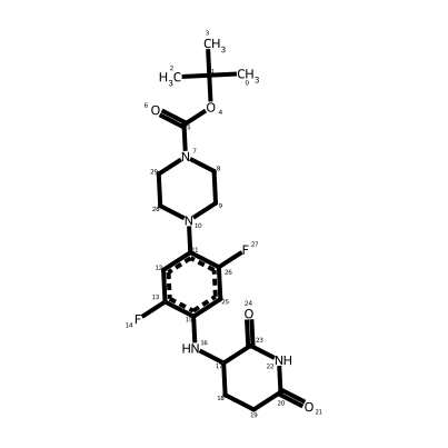 CC(C)(C)OC(=O)N1CCN(c2cc(F)c(NC3CCC(=O)NC3=O)cc2F)CC1